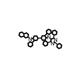 c1ccc(-c2nc(-c3ccccc3)c(-n3c4ccccc4c4cc(-c5ccc6c(c5)c5ccccc5n6-c5ccc6ccccc6c5)ccc43)c(-c3ccccc3)n2)cc1